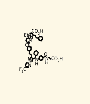 CC[N+]1(c2ccc(C(F)(F)F)cn2)C=C(C(=O)O)C(CCc2ccccc2)=N1.O=C(O)CCNC(=O)c1ccc(NC(c2cn(-c3ccc(C(F)(F)F)cn3)nc2CCc2ccccc2)C2CCCCC2)cc1